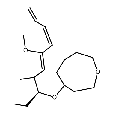 C=C/C=C\C(=CC(C)[C@H](CC)OC1CCCCOCC1)OC